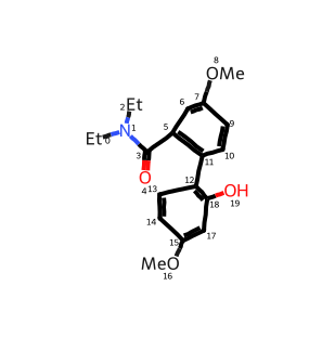 CCN(CC)C(=O)c1cc(OC)ccc1-c1ccc(OC)cc1O